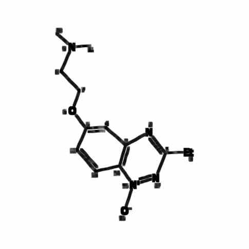 CCc1nc2cc(OCCN(C)C)ccc2[n+]([O-])n1